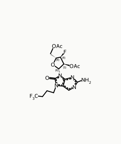 CC(=O)OC[C@H]1O[C@@H](n2c(=O)n(CCCC(F)(F)F)c3cnc(N)nc32)[C@H](OC(C)=O)[C@@H]1F